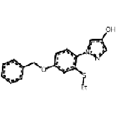 CCSc1cc(OCc2ccccc2)ccc1-n1cc(O)cn1